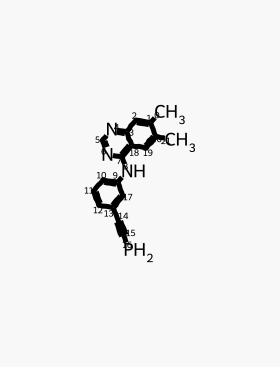 Cc1cc2ncnc(Nc3cccc(C#CP)c3)c2cc1C